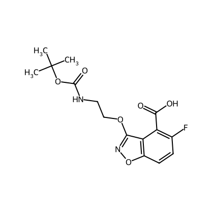 CC(C)(C)OC(=O)NCCOc1noc2ccc(F)c(C(=O)O)c12